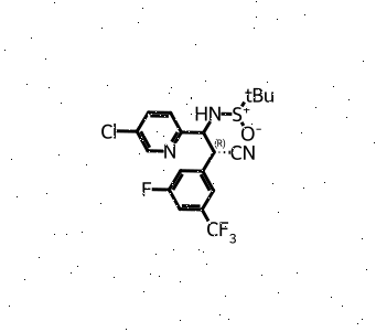 CC(C)(C)[S+]([O-])NC(c1ccc(Cl)cn1)[C@H](C#N)c1cc(F)cc(C(F)(F)F)c1